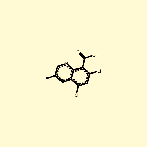 Cc1cnc2c(C(=O)O)c(Cl)cc(Cl)c2c1